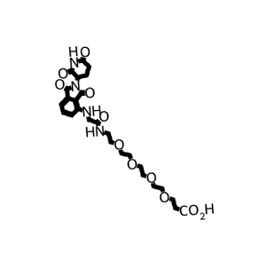 O=C(O)CCOCCOCCOCCOCCNC(=O)CNc1cccc2c1C(=O)N(C1CCC(=O)NC1=O)C2=O